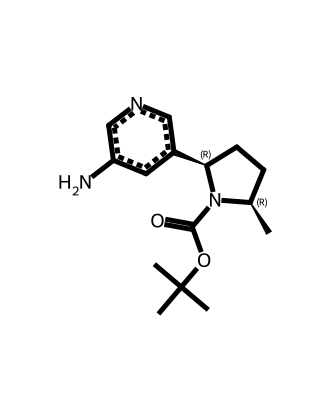 C[C@@H]1CC[C@H](c2cncc(N)c2)N1C(=O)OC(C)(C)C